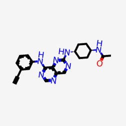 C#Cc1cccc(Nc2ncnc3cnc(N[C@H]4CC[C@H](NC(C)=O)CC4)nc23)c1